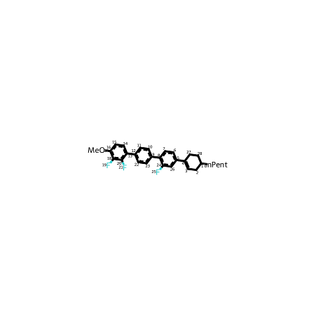 CCCCCC1CC=C(c2ccc(-c3ccc(-c4ccc(OC)c(F)c4F)cc3)c(F)c2)CC1